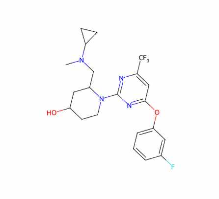 CN(CC1CC(O)CCN1c1nc(Oc2cccc(F)c2)cc(C(F)(F)F)n1)C1CC1